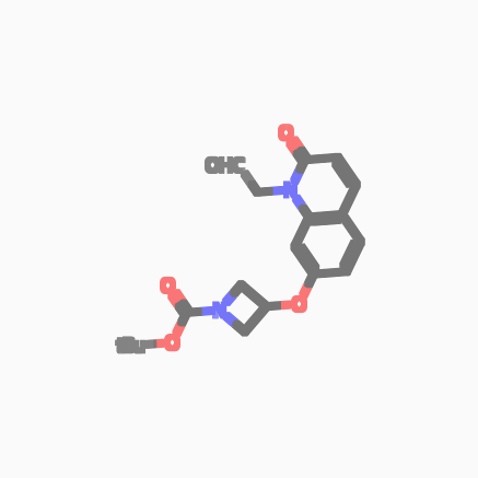 CC(C)(C)OC(=O)N1CC(Oc2ccc3ccc(=O)n(CC=O)c3c2)C1